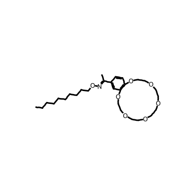 CCCCCCCCCCON=C(C)c1ccc2c(c1)OCCOCCOCCOCCOCCO2